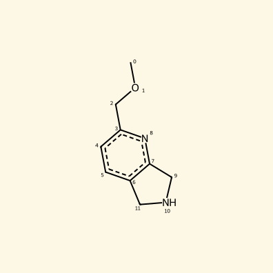 COCc1ccc2c(n1)CNC2